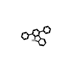 C1=CC2Nc3c(-c4ccccc4)ccc(-c4ccccc4)c3C2C=C1